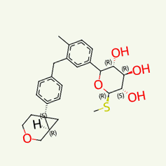 CS[C@H]1OC(c2ccc(C)c(Cc3ccc([C@@]45CCOC[C@@H]4C5)cc3)c2)[C@H](O)[C@@H](O)[C@@H]1O